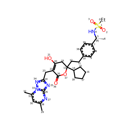 CCS(=O)(=O)N[C@H](C)c1ccc(CCC2(C3CCCC3)CC(O)=C(Cc3nc4nc(C)cc(C)n4n3)C(=O)O2)cc1